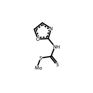 S=C(Nc1ncco1)[S][Mo]